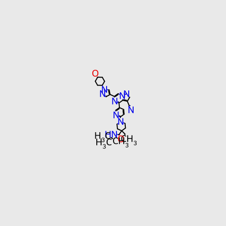 CCC1(C(=O)NC(C)(C)C)CCN(c2ccc(-c3nc(-c4cnn(C5CCC(=O)CC5)c4)cn4ncc(C#N)c34)cn2)CC1